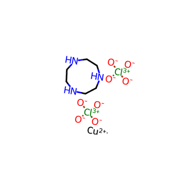 C1CNCCNCCN1.[Cu+2].[O-][Cl+3]([O-])([O-])[O-].[O-][Cl+3]([O-])([O-])[O-]